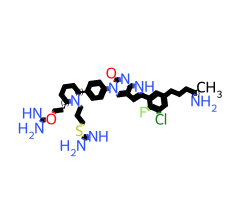 C[C@H](N)CCCc1cc(Cl)c(F)c(-c2cc3cn(-c4ccc([C@@H]5CCC[C@@H](CCOC(=N)N)N5CCCSC(=N)N)cc4)c(=O)nc3[nH]2)c1